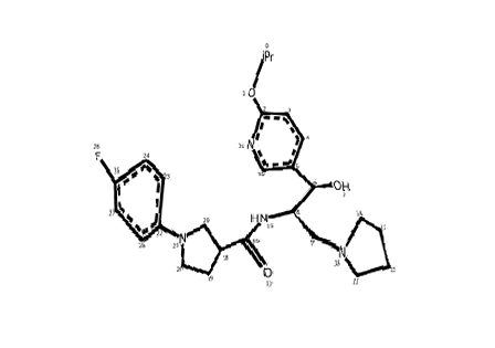 CC(C)Oc1ccc([C@@H](O)[C@@H](CN2CCCC2)NC(=O)C2CCN(c3ccc(F)cc3)C2)cn1